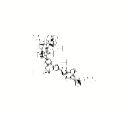 COC(=O)N[C@H](C(=O)N1CCC[C@H]1c1ncc(-c2ccc3c(c2)CN(C)Cc2cc(-c4cnc([C@@H]5CCCN5C(=O)[C@H]5NC(C)(OC)OC5C)[nH]4)ccc2-3)[nH]1)C(C)C